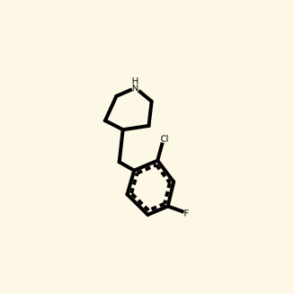 Fc1ccc(CC2CCNCC2)c(Cl)c1